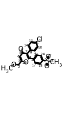 COCc1cc(=O)c(-c2ccc(Cl)cc2)c(-c2ccc(S(C)(=O)=O)cc2)o1